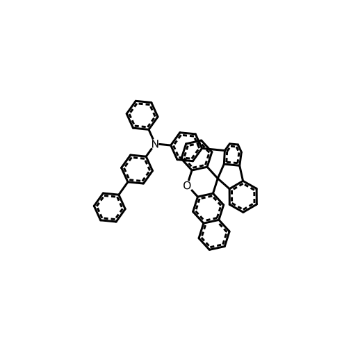 c1ccc(-c2ccc(N(c3ccccc3)c3ccc(-c4cccc5c4C4(c6ccccc6Oc6cc7ccccc7cc64)c4ccccc4-5)cc3)cc2)cc1